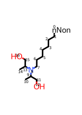 CCCCCCCCCCCCCCCCN(C(C)CO)C(C)CO